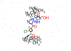 CC(C)[Si](O[C@H]1C[C@H](Nc2ncncc2C(=O)c2cc(C(C#CC3CC3)O[Si](C)(C)C(C)(C)C)c(Cl)s2)C[C@@H]1CO)(C(C)C)C(C)C